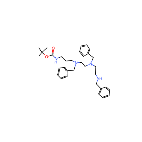 CC(C)(C)OC(=O)NCCCN(CCN(CCNCc1ccccc1)Cc1ccccc1)Cc1ccccc1